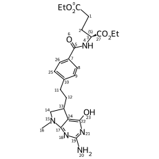 CCOC(=O)CC[C@H](NC(=O)c1ccc(CCC2CN(C)c3nc(N)nc(O)c32)cc1)C(=O)OCC